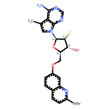 CNc1ccc2ccc(OC[C@H]3O[C@@H](n4cc(C(F)(F)F)c5c(N)ncnc54)[C@@H](F)[C@@H]3O)cc2n1